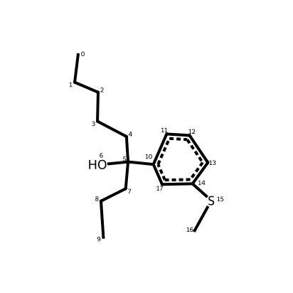 CCCCCC(O)(CCC)c1cccc(SC)c1